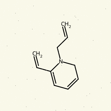 C=CCN1CC=CC=C1C=C